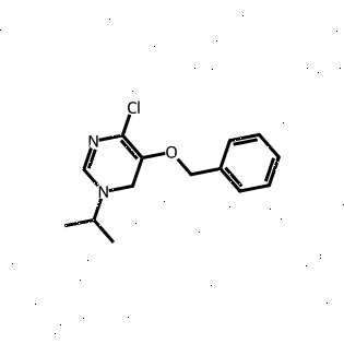 CC(C)N1C=NC(Cl)=C(OCc2ccccc2)C1